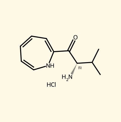 CC(C)[C@H](N)C(=O)C1=CC=CC=CN1.Cl